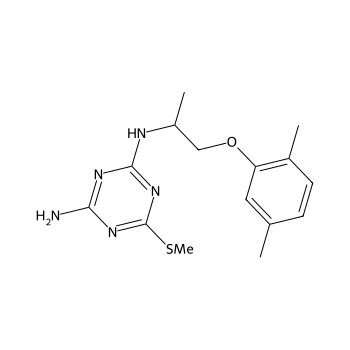 CSc1nc(N)nc(NC(C)COc2cc(C)ccc2C)n1